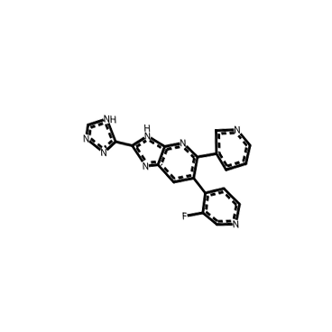 Fc1cnccc1-c1cc2nc(-c3nnc[nH]3)[nH]c2nc1-c1cccnc1